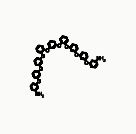 Nc1cccc(Oc2cccc(Oc3cccc(Oc4ccccc4Oc4cccc(Oc5ccccc5Oc5cccc(Oc6cccc(Oc7cccc(N)c7)c6)c5)c4)c3)c2)c1